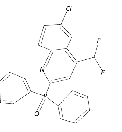 O=P(c1ccccc1)(c1ccccc1)c1cc(C(F)F)c2cc(Cl)ccc2n1